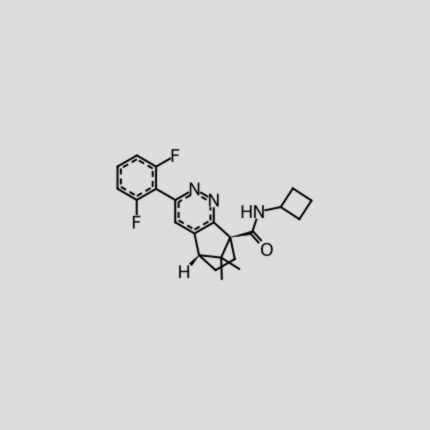 CC1(C)[C@@H]2CC[C@@]1(C(=O)NC1CCC1)c1nnc(-c3c(F)cccc3F)cc12